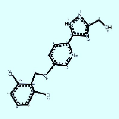 OCc1n[nH]c(-c2ccc(OCc3c(Cl)cccc3Cl)cn2)n1